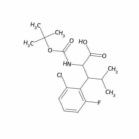 CC(C)C(c1c(F)cccc1Cl)C(NC(=O)OC(C)(C)C)C(=O)O